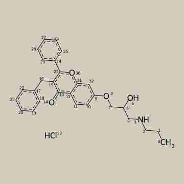 CCCNCC(O)COc1ccc2c(=O)c(Cc3ccccc3)c(-c3ccccc3)oc2c1.Cl